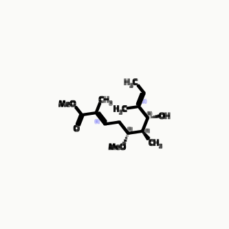 C/C=C(\C)[C@H](O)[C@@H](C)[C@@H](C/C=C(\C)C(=O)OC)OC